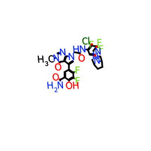 Cn1cnc2c(c(-c3cc(C(N)=O)c(O)c(F)c3F)cn2CC(=O)Nc2cc(N3C4CCC3CN(CC(F)(F)F)C4)ncc2Cl)c1=O